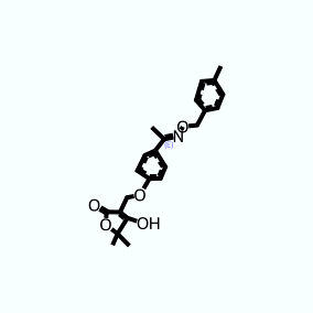 C/C(=N\OCc1ccc(C)cc1)c1ccc(OCC2=C(O)C(C)(C)OC2=O)cc1